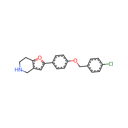 Clc1ccc(COc2ccc(-c3cc4c(o3)CCNC4)cc2)cc1